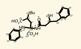 CC(C)(C)C(C[C@@](NC(=O)CC(S)Cc1ccccc1)(Nc1ccccc1)C(=O)O)C(=O)O